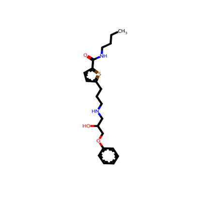 CCCCNC(=O)c1ccc(CCCNCC(O)COc2ccccc2)s1